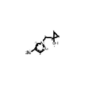 CC(C)(C)c1cnn(CC2(O)CC2)c1